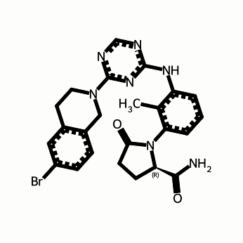 Cc1c(Nc2ncnc(N3CCc4cc(Br)ccc4C3)n2)cccc1N1C(=O)CC[C@@H]1C(N)=O